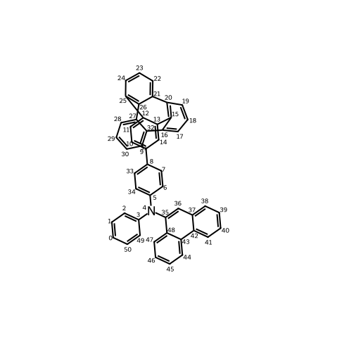 c1ccc(N(c2ccc(-c3ccc4c(c3)-c3c5cccc3-c3cccc-4c3-c3ccccc3-5)cc2)c2cc3ccccc3c3ccccc23)cc1